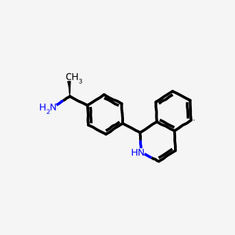 C[C@H](N)c1ccc(C2NC=Cc3[c]cccc32)cc1